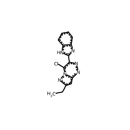 CCc1cc2nnc(-c3nc4ccccc4[nH]3)c(Cl)n2n1